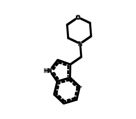 [c]1cccc2[nH]cc(CN3CCOCC3)c12